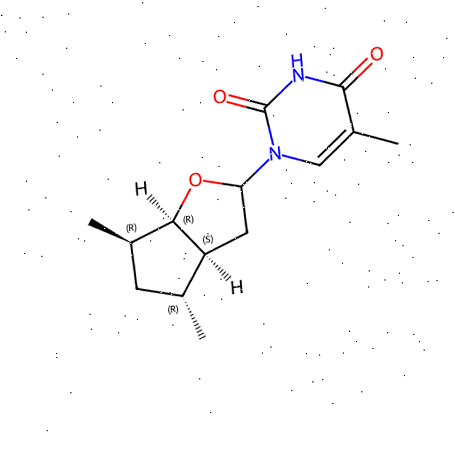 Cc1cn(C2C[C@@H]3[C@H](O2)[C@H](C)C[C@H]3C)c(=O)[nH]c1=O